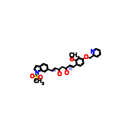 COc1cc(OCc2ccccn2)ccc1/C=C/C(=O)CC(=O)/C=C/c1ccc2ccn(S(C)(=O)=O)c2c1